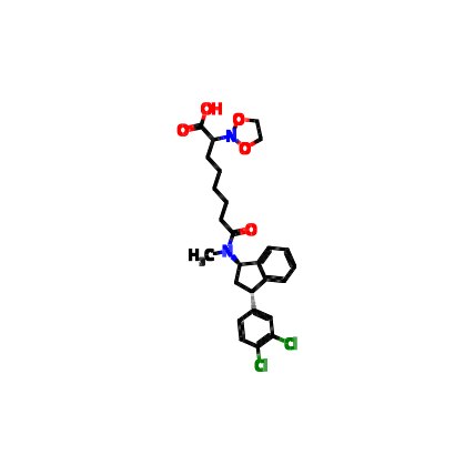 CN(C(=O)CCCCCC(C(=O)O)N1OCCO1)[C@@H]1C[C@@H](c2ccc(Cl)c(Cl)c2)c2ccccc21